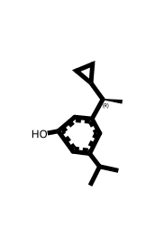 CC(C)c1cc(O)cc([C@H](C)C2CC2)c1